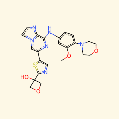 COc1cc(Nc2nc(-c3cnc(C4(O)COC4)s3)cn3ccnc23)ccc1N1CCOCC1